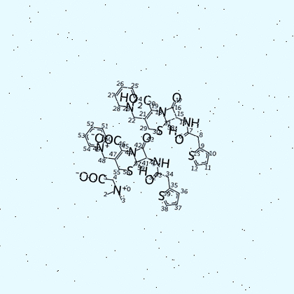 C[N+](C)(C)CC(=O)[O-].O=C(Cc1cccs1)NC1C(=O)N2C(C(=O)O)=C(CN3C=CC=CC3)CS[C@H]12.O=C(Cc1cccs1)N[C@@H]1C(=O)N2C(C(=O)[O-])=C(C[n+]3ccccc3)CS[C@H]12